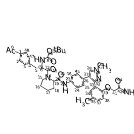 CC(=O)c1ccc(C[C@H](NC(=O)OC(C)(C)C)C(=O)N2CCCCC2C(=O)Nc2ccc(-c3cn(C)nc3-c3cc(C)ccc3OCC(N)=O)cc2)cc1